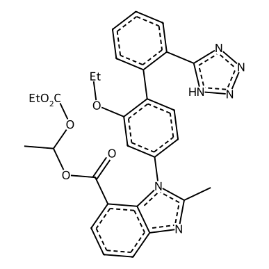 CCOC(=O)OC(C)OC(=O)c1cccc2nc(C)n(-c3ccc(-c4ccccc4-c4nnn[nH]4)c(OCC)c3)c12